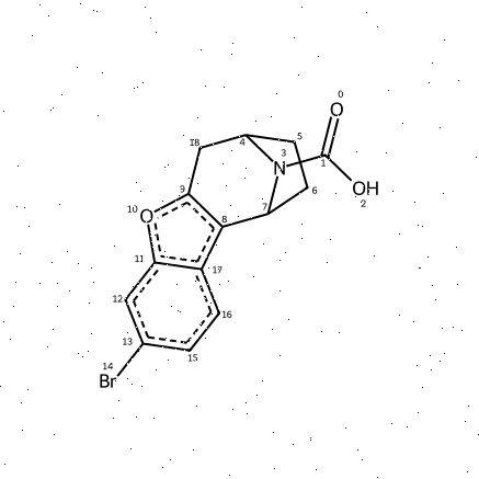 O=C(O)N1C2CCC1c1c(oc3cc(Br)ccc13)C2